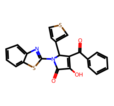 O=C(C1=C(O)C(=O)N(c2nc3ccccc3s2)C1c1ccsc1)c1ccccc1